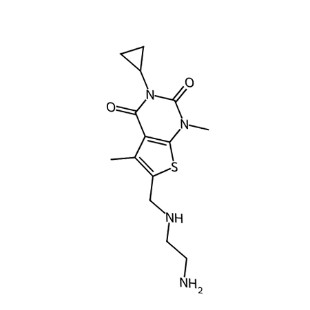 Cc1c(CNCCN)sc2c1c(=O)n(C1CC1)c(=O)n2C